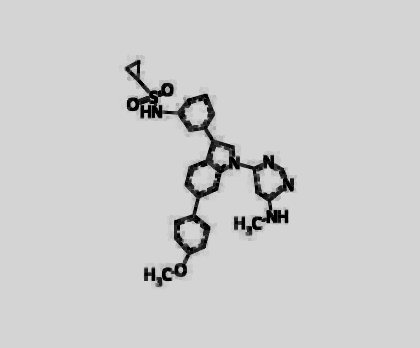 CNc1cc(-n2cc(-c3cccc(NS(=O)(=O)C4CC4)c3)c3ccc(-c4ccc(OC)cc4)cc32)ncn1